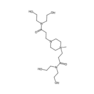 C[N+]1(CCC(=O)N(CCO)CCO)CCN(CCC(=O)N(CCO)CCO)CC1